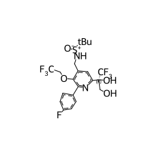 CC(C)(C)[S+]([O-])NCc1cc([C@@](O)(CO)C(F)(F)F)nc(-c2ccc(F)cc2)c1OCC(F)(F)F